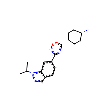 CC(C)n1ncc2ccc(-c3noc([C@H]4CC[C@H](N)CC4)n3)cc21